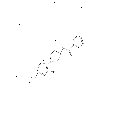 N#Cc1cc([N+](=O)[O-])ccc1N1CCC(OC(=O)c2ccccc2)CC1